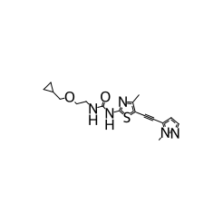 Cc1nc(NC(=O)NCCOCC2CC2)sc1C#Cc1ccnn1C